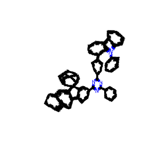 c1ccc(-c2nc(-c3ccc(-c4cccc5c6ccccc6n(-c6ccccc6)c45)cc3)nc(-c3ccc4c(c3)C3(c5cc6ccccc6cc5-4)C4CC5CC(C4)CC3C5)n2)cc1